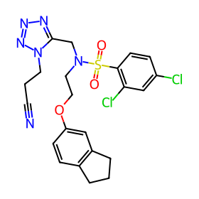 N#CCCn1nnnc1CN(CCOc1ccc2c(c1)CCC2)S(=O)(=O)c1ccc(Cl)cc1Cl